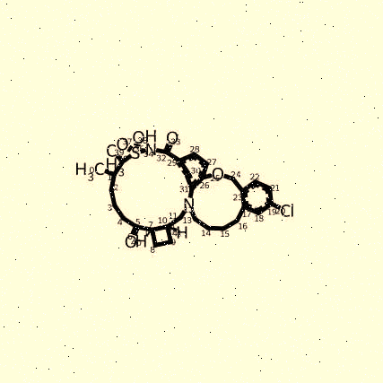 CC1CCCC(=O)[C@@H]2CC[C@H]2CN2CCCCc3cc(Cl)ccc3COc3ccc(cc32)C(=O)NS(=O)(=O)C1C